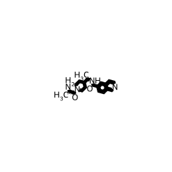 CC(NC(=O)c1ccc2cnccc2c1)C1CCN(C(=O)[C@H](C)N)CC1